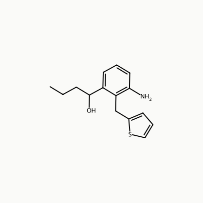 CCCC(O)c1cccc(N)c1Cc1cccs1